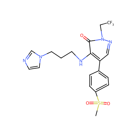 CS(=O)(=O)c1ccc(-c2cnn(CC(F)(F)F)c(=O)c2NCCCn2ccnc2)cc1